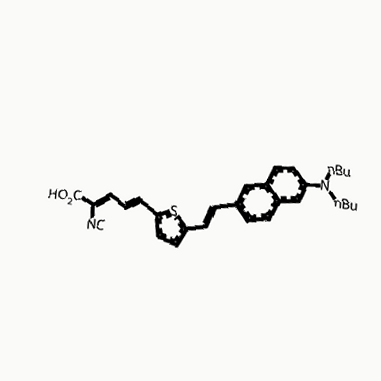 [C-]#[N+]/C(=C\C=C\c1ccc(/C=C/c2ccc3cc(N(CCCC)CCCC)ccc3c2)s1)C(=O)O